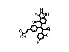 N#Cc1c(/C(=C(/c2ccc(F)cc2Cl)C2CC2)c2ccc(/C=C/C(=O)O)cc2)ccc2c1C(F)NN2